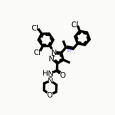 C/C(=C\c1cccc(Cl)c1)c1c(C)c(C(=O)NN2CCOCC2)nn1-c1ccc(Cl)cc1Cl